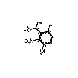 Cc1ccc(O)c([N+](=O)[O-])c1C(C)O